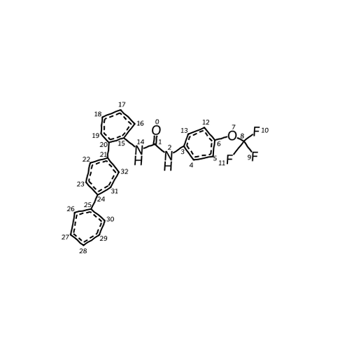 O=C(Nc1ccc(OC(F)(F)F)cc1)Nc1ccccc1-c1ccc(-c2ccccc2)cc1